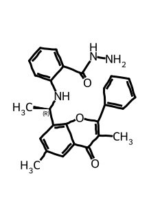 Cc1cc([C@@H](C)Nc2ccccc2C(=O)NN)c2oc(-c3ccccc3)c(C)c(=O)c2c1